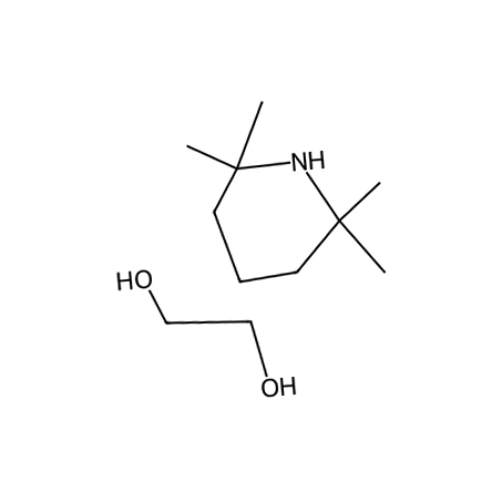 CC1(C)CCCC(C)(C)N1.OCCO